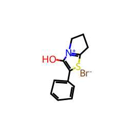 Oc1c(-c2ccccc2)sc2[n+]1CCC2.[Br-]